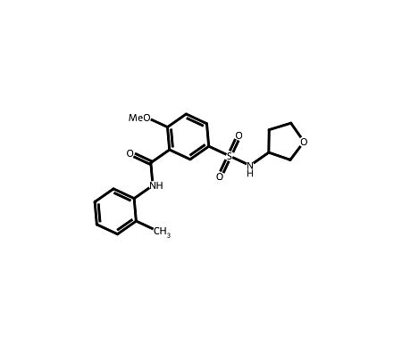 COc1ccc(S(=O)(=O)NC2CCOC2)cc1C(=O)Nc1ccccc1C